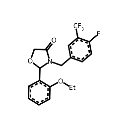 CCOc1ccccc1C1OCC(=O)N1Cc1ccc(F)c(C(F)(F)F)c1